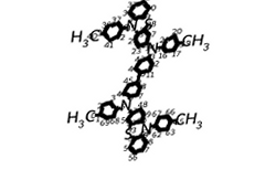 Cc1ccc(N(c2ccc(-c3ccc(N(c4ccc(C)cc4)c4ccc5c(c4)Sc4ccccc4N5c4ccc(C)cc4)cc3)cc2)c2ccc3c(c2)Sc2ccccc2N3c2ccc(C)cc2)cc1